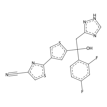 N#Cc1csc(-c2csc(C(O)(Cc3nc[nH]n3)c3ccc(F)cc3F)c2)n1